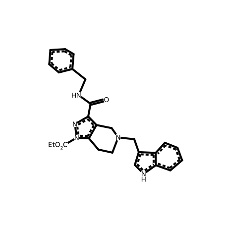 CCOC(=O)n1nc(C(=O)NCc2ccccc2)c2c1CCN(Cc1c[nH]c3ccccc13)C2